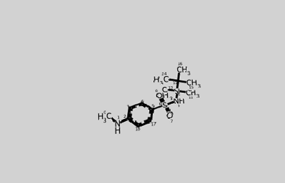 CNc1ccc(S(=O)(=O)N[Si](C)(C)C(C)(C)C)cc1